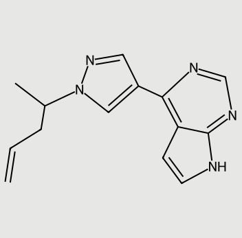 C=CCC(C)n1cc(-c2ncnc3[nH]ccc23)cn1